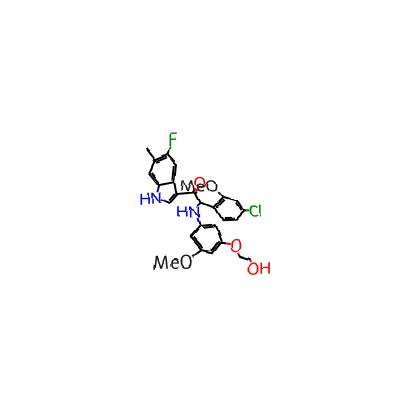 COc1cc(NC(C(=O)c2c[nH]c3cc(C)c(F)cc23)c2ccc(Cl)cc2OC)cc(OCCO)c1